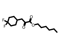 CCCCCCOC(=O)C(=O)CC1CCC(F)(F)CC1